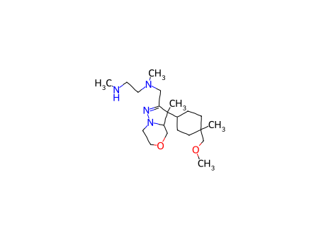 CNCCN(C)CC1=NN2CCOCC2C1(C)C1CCC(C)(COC)CC1